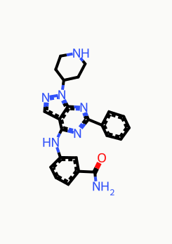 NC(=O)c1cccc(Nc2nc(-c3ccccc3)nc3c2cnn3C2CCNCC2)c1